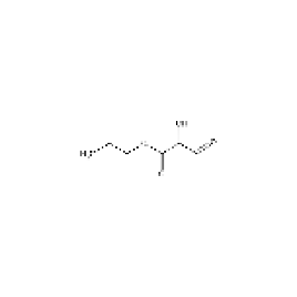 CCCOC(=O)C(O)C=O